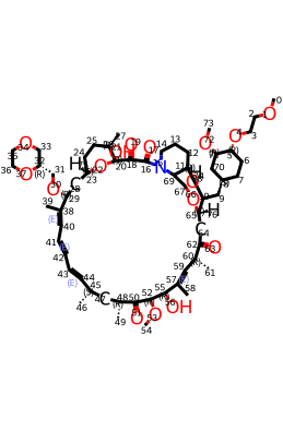 COCCO[C@@H]1CC[C@@H](CC2[C@H]3CCCN4C(=O)C(=O)[C@]5(O)O[C@@H](CC[C@H]5C)C[C@@H](OC[C@H]5COCCO5)/C(C)=C/C=C/C=C/[C@@H](C)C[C@@H](C)C(=O)[C@H](OC)[C@H](O)/C(C)=C/[C@@H](C)C(=O)C[C@@H]2OC(=O)C34)C[C@H]1OC